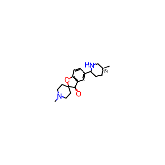 C[C@H]1CCC(c2ccc3c(c2)C(=O)C2(CCN(C)CC2)O3)NC1